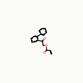 C=CC(=O)OCC(=O)c1ccccc1-c1ccccc1